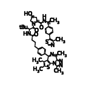 Cc1ncsc1-c1ccc([C@H](C)NC(=O)[C@@H]2C[C@@H](O)CN2C(=O)C(NC(=O)CCCc2ccc(C3=N[C@@H](C)c4nnc(C)n4-c4sc(C)c(C)c43)cc2)C(C)(C)C)cc1